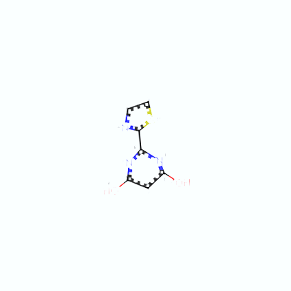 Oc1cc(O)nc(-c2nccs2)n1